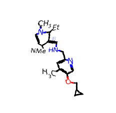 CCC1/C(=C/NCc2cc(C)c(OCC3CC3)cn2)C(NC)C=CN1C